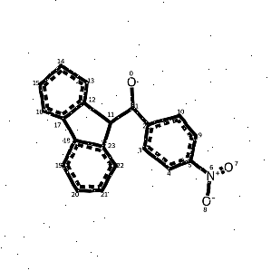 [O]C(c1ccc([N+](=O)[O-])cc1)C1c2ccccc2-c2ccccc21